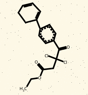 CCOC(=O)CC(Cl)(Cl)C(=O)c1ccc(C2=CC=CC[CH]2)cc1